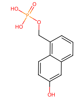 O=P(O)(O)OCc1cccc2cc(O)ccc12